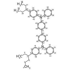 CCCC(CC)c1ccc(N(c2ccccc2)c2ccc(-c3ccc(N(c4ccccc4)c4ccc(C(CC)CC)cc4)cc3)cc2)cc1